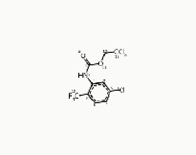 O=C(Nc1cc(Cl)ccc1C(F)(F)F)OCC(Cl)(Cl)Cl